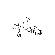 CC(C)(C)C1CCC(N(Cc2ccc(C(=O)Nc3nnn[nH]3)cc2)c2nc3ccccc3n2CCO)CC1